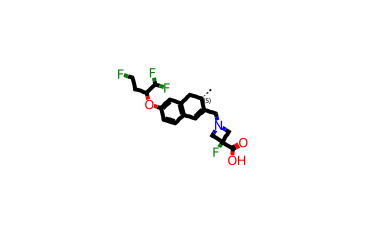 C[C@H]1Cc2cc(OC(CCF)C(F)F)ccc2C=C1CN1CC(F)(C(=O)O)C1